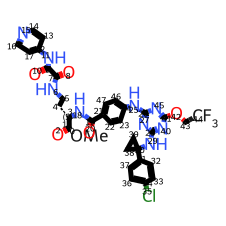 COC(=O)[C@H](CCNC(=O)C(=O)Nc1ccncc1)NC(=O)c1ccc(Nc2nc(NC3(c4ccc(Cl)cc4)CC3)nc(OCC(F)(F)F)n2)cc1